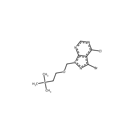 C[Si](C)(C)CCOCn1nc(Br)c2c(Cl)ncnc21